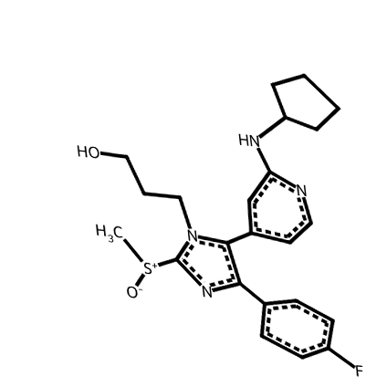 C[S+]([O-])c1nc(-c2ccc(F)cc2)c(-c2ccnc(NC3CCCC3)c2)n1CCCO